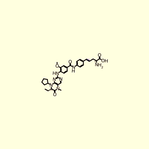 CC[C@@H]1C(=O)N(C)c2cnc(Nc3ccc(C(=O)Nc4ccc(/C=C/C[C@H](N)C(=O)O)cc4)cc3OC)nc2N1C1CCCC1